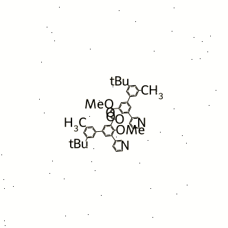 COC(=O)c1cc(-c2cc(C)cc(C(C)(C)C)c2)cc(-c2cccnc2)c1OC(=O)c1cc(-c2cc(C)cc(C(C)(C)C)c2)cc(-c2cccnc2)c1OC